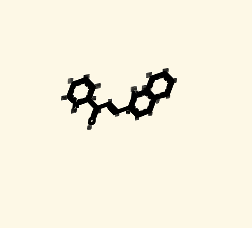 O=C(C=Cc1ccc2ccccc2n1)c1ccccn1